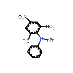 CCCN(c1ccccc1)c1c([N+](=O)[O-])cc([N+](=O)[O-])cc1C(F)(F)F